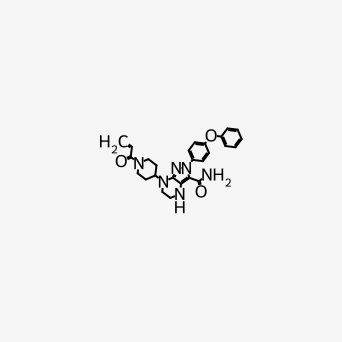 C=CC(=O)N1CCC(N2CCNc3c2nn(-c2ccc(Oc4ccccc4)cc2)c3C(N)=O)CC1